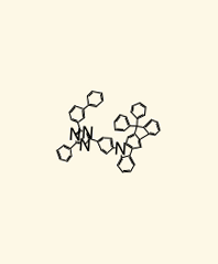 c1ccc(-c2cccc(-c3nc(-c4ccccc4)nc(-c4ccc(-n5c6ccccc6c6cc7c(cc65)C(c5ccccc5)(c5ccccc5)c5ccccc5-7)cc4)n3)c2)cc1